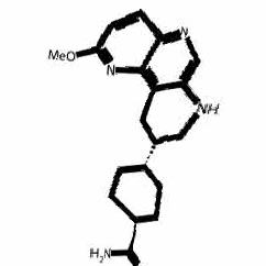 COc1ccc2ncc3c(c2n1)CC([C@H]1CC[C@H](C(N)=O)CC1)CN3